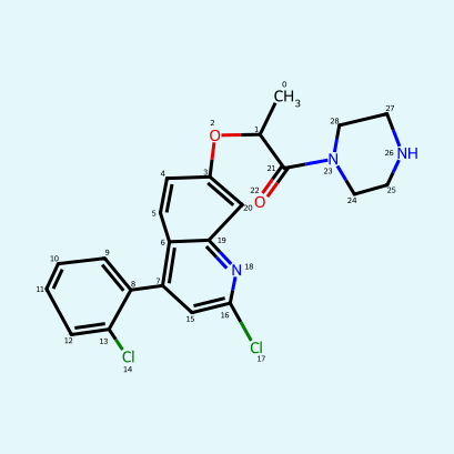 CC(Oc1ccc2c(-c3ccccc3Cl)cc(Cl)nc2c1)C(=O)N1CCNCC1